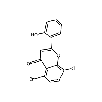 O=c1cc(-c2ccccc2O)oc2c(Cl)ccc(Br)c12